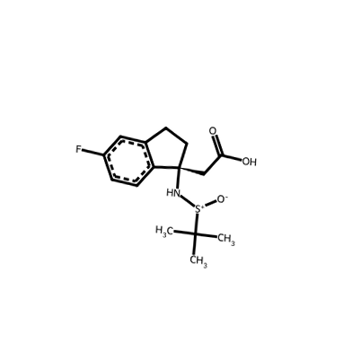 CC(C)(C)[S+]([O-])N[C@@]1(CC(=O)O)CCc2cc(F)ccc21